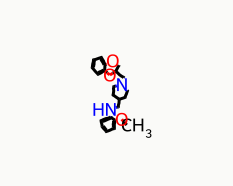 COc1ccccc1NCC1CCN(CC2COc3ccccc3O2)CC1